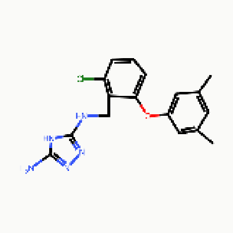 Cc1cc(C)cc(Oc2cccc(Cl)c2CNc2nnc(N)[nH]2)c1